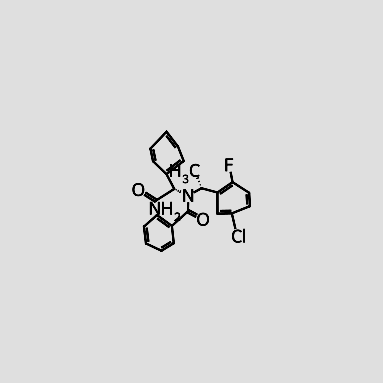 C[C@H](c1cc(Cl)ccc1F)N(C(=O)c1ccccc1)[C@H](C(N)=O)c1ccccc1